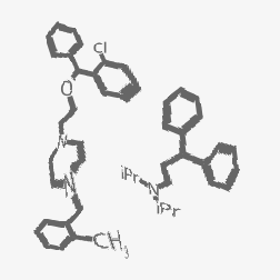 CC(C)N(CCC(c1ccccc1)c1ccccc1)C(C)C.Cc1ccccc1CN1CCN(CCOC(c2ccccc2)c2ccccc2Cl)CC1